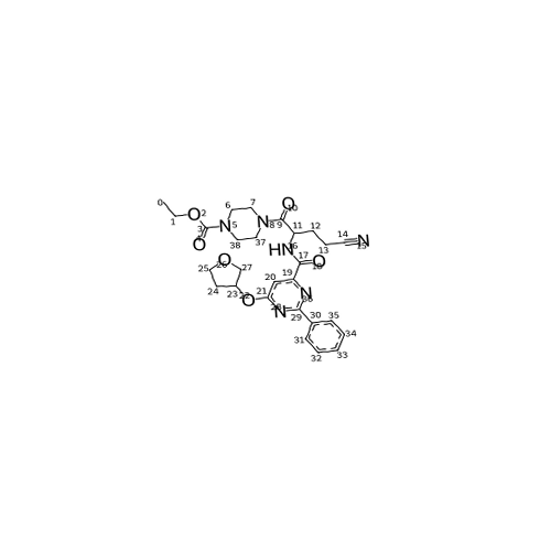 CCOC(=O)N1CCN(C(=O)C(CCC#N)NC(=O)c2cc(OC3CCOC3)nc(-c3ccccc3)n2)CC1